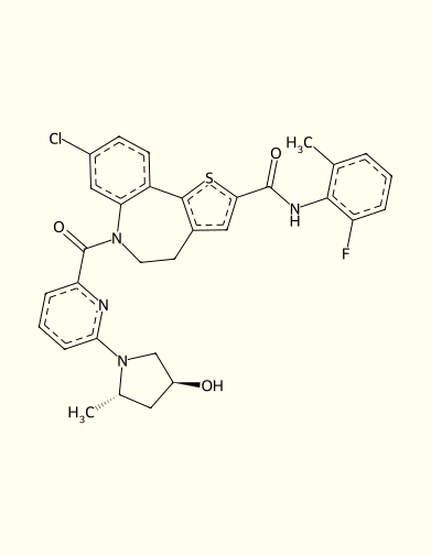 Cc1cccc(F)c1NC(=O)c1cc2c(s1)-c1ccc(Cl)cc1N(C(=O)c1cccc(N3C[C@@H](O)C[C@@H]3C)n1)CC2